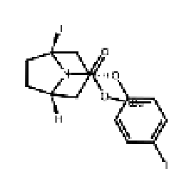 CC(C)(C)OC(=O)N1[C@@H]2CC[C@H]1C[C@@H](Oc1ccc(I)cc1)C2